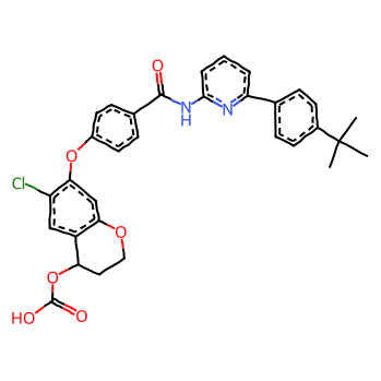 CC(C)(C)c1ccc(-c2cccc(NC(=O)c3ccc(Oc4cc5c(cc4Cl)C(OC(=O)O)CCO5)cc3)n2)cc1